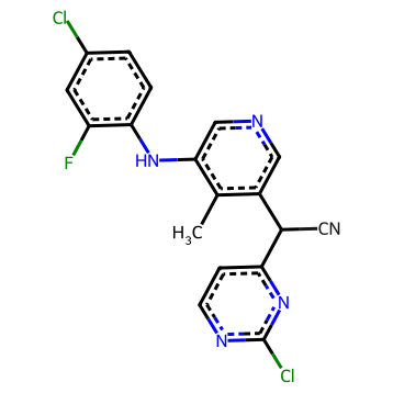 Cc1c(Nc2ccc(Cl)cc2F)cncc1C(C#N)c1ccnc(Cl)n1